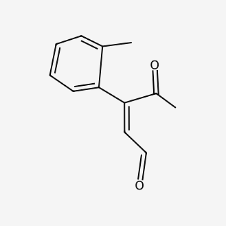 CC(=O)C(=CC=O)c1ccccc1C